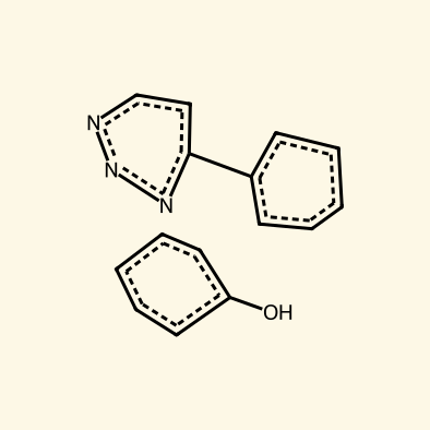 Oc1ccccc1.c1ccc(-c2ccnnn2)cc1